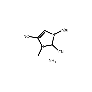 CCCCN1C=C(C#N)N(C)C1C#N.N